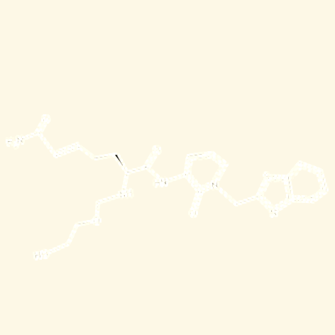 NC(=O)/C=C/CC[C@H](NCOCCO)C(=O)Nc1cccn(Cc2nc3ccccc3s2)c1=O